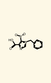 O=C(O)c1ncn(Cc2ccccc2)c1[N+](=O)[O-]